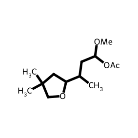 COC(CC(C)C1CC(C)(C)CO1)OC(C)=O